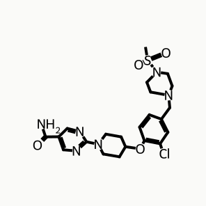 CS(=O)(=O)N1CCN(Cc2ccc(OC3CCN(c4ncc(C(N)=O)cn4)CC3)c(Cl)c2)CC1